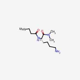 CNCCC(=O)N[C@@H](CCCCN)C(=O)N(C)C